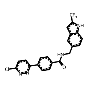 O=C(NCc1ccc2[nH]c(C(F)(F)F)cc2c1)c1ccc(-c2ccc(Cl)nn2)cc1